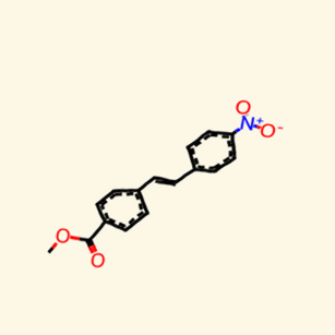 COC(=O)c1ccc(C=Cc2ccc([N+](=O)[O-])cc2)cc1